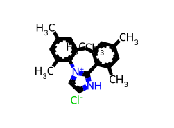 Cc1cc(C)c(-c2[nH]cc[n+]2-c2c(C)cc(C)cc2C)c(C)c1.[Cl-]